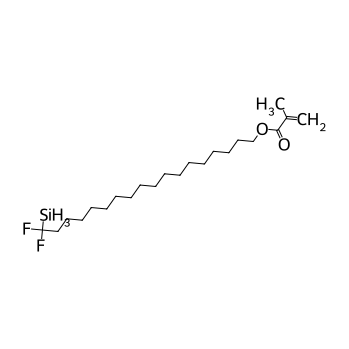 C=C(C)C(=O)OCCCCCCCCCCCCCCCCCC(F)(F)[SiH3]